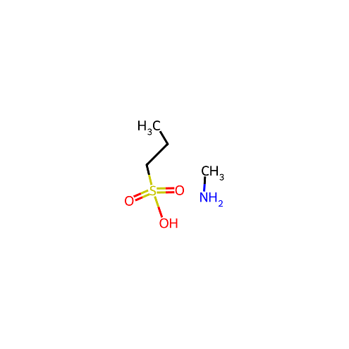 CCCS(=O)(=O)O.CN